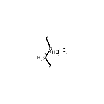 CO[SiH2]C.Cl.Cl